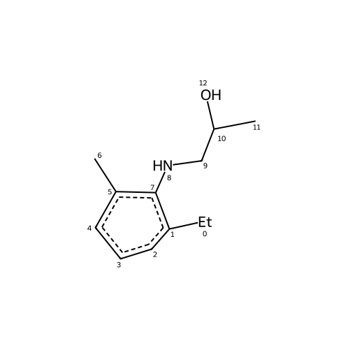 CCc1cccc(C)c1NCC(C)O